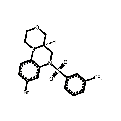 O=S(=O)(c1cccc(C(F)(F)F)c1)N1C[C@@H]2COCCN2c2ccc(Br)cc21